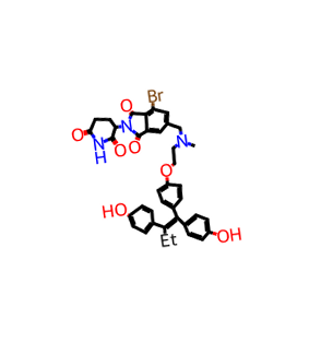 CCC(=C(c1ccc(O)cc1)c1ccc(OCCN(C)Cc2cc(Br)c3c(c2)C(=O)N(C2CCC(=O)NC2=O)C3=O)cc1)c1ccc(O)cc1